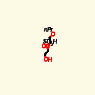 CCCOCCOCCO.O=S(=O)(O)O